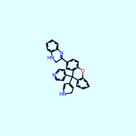 C1=CC(C2(c3ccncc3)c3ccccc3Oc3ccc(C4=Nc5ccccc5NC4)cc32)=CCN1